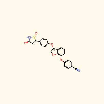 N#Cc1ccc(Oc2cccc3c2OC[C@H]3Oc2ccc(C3CC(=O)N[S+]3[O-])cc2)cc1